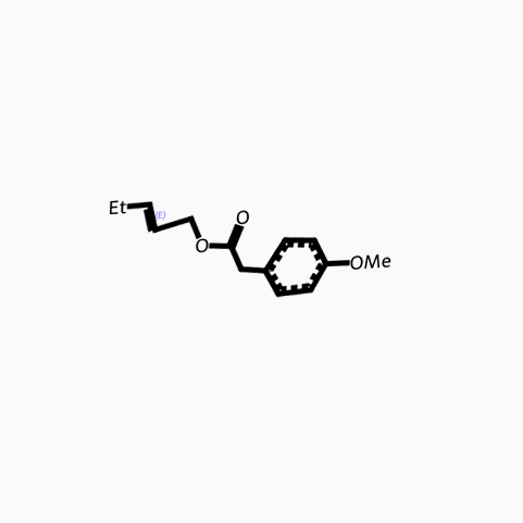 CC/C=C/COC(=O)Cc1ccc(OC)cc1